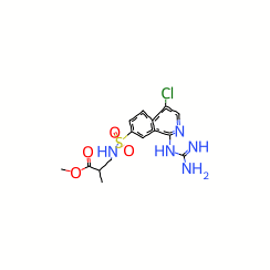 COC(=O)C(C)CNS(=O)(=O)c1ccc2c(Cl)cnc(NC(=N)N)c2c1